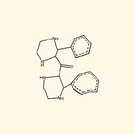 O=C(C1NCCNC1c1ccccc1)C1NCCNC1c1ccccc1